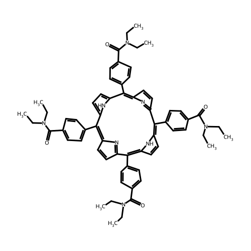 CCN(CC)C(=O)c1ccc(-c2c3nc(c(-c4ccc(C(=O)N(CC)CC)cc4)c4ccc([nH]4)c(-c4ccc(C(=O)N(CC)CC)cc4)c4nc(c(-c5ccc(C(=O)N(CC)CC)cc5)c5ccc2[nH]5)C=C4)C=C3)cc1